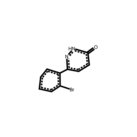 O=c1ccc(-c2ccccc2Br)n[nH]1